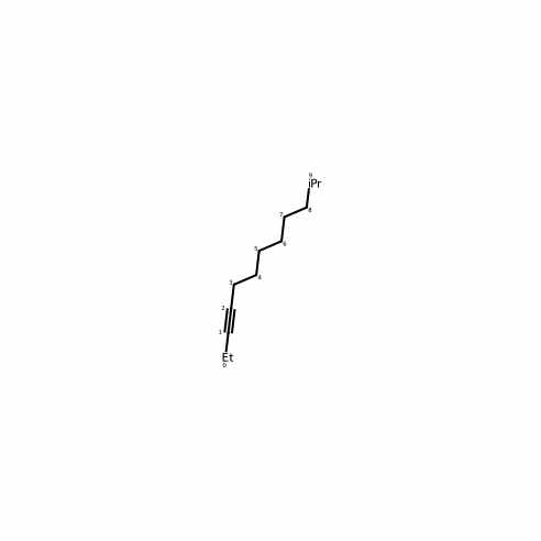 [CH2]CC#CCCCCCCC([CH2])C